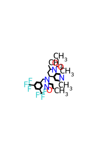 CCOC(=O)N1c2c(cc(C)nc2C)C(N(Cc2cc(C(F)(F)F)cc(C(F)(F)F)c2)c2cc(C)on2)CC1CC